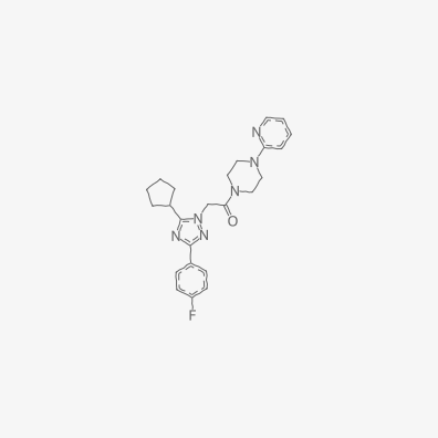 O=C(Cn1nc(-c2ccc(F)cc2)nc1C1CCCC1)N1CCN(c2ccccn2)CC1